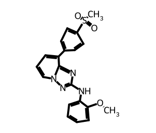 COc1ccccc1Nc1nc2c(-c3ccc(S(C)(=O)=O)cc3)cccn2n1